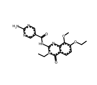 CCOc1ccc2c(=O)n(CC)c(NC(=O)c3cnc(N)nc3)nc2c1OC